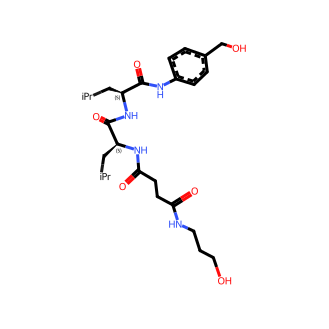 CC(C)C[C@H](NC(=O)CCC(=O)NCCCO)C(=O)N[C@@H](CC(C)C)C(=O)Nc1ccc(CO)cc1